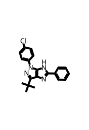 CC(C)(C)c1nn(-c2ccc(Cl)cc2)c2[nH]c(-c3ccccc3)nc12